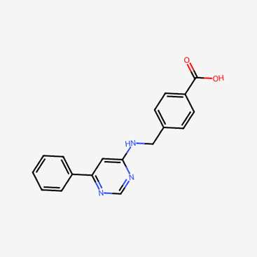 O=C(O)c1ccc(CNc2cc(-c3ccccc3)ncn2)cc1